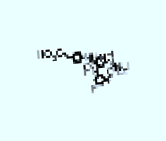 CCNC(=O)Nc1cc(Nc2cc(F)cc(F)c2)c(C(=O)Nc2ccc(CCC(=O)O)cc2)cn1